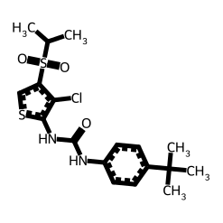 CC(C)S(=O)(=O)c1csc(NC(=O)Nc2ccc(C(C)(C)C)cc2)c1Cl